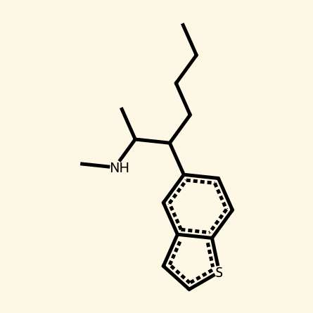 CCCCC(c1ccc2sccc2c1)C(C)NC